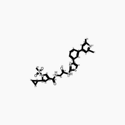 Cc1cc(-c2cccc(-c3csc(NC(=O)CNC(=O)c4cc(C5CC5)n(S(C)(=O)=O)c4)n3)c2)cc(C)n1